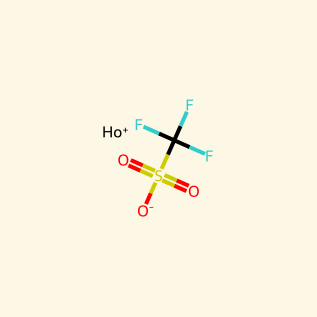 O=S(=O)([O-])C(F)(F)F.[Ho+]